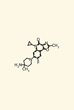 Cc1nc2c(=O)n(C3CC3)c3cc(N4CCC(C)(N)CC4)c(F)cc3c2o1